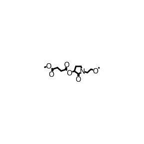 COCCN1CCC(OC(=O)CCC(=O)OC)C1=O